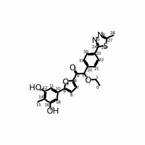 CCOC(C(=O)c1ccc(-c2cc(O)c(C)c(O)c2)o1)c1ccc(-c2nnc(C)s2)cc1